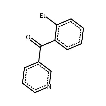 [CH2]Cc1ccccc1C(=O)c1cccnc1